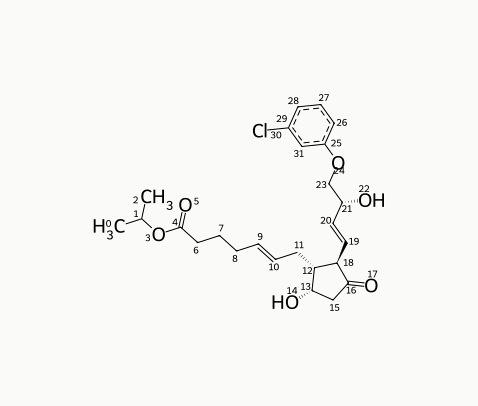 CC(C)OC(=O)CCCC=CC[C@H]1[C@@H](O)CC(=O)[C@@H]1C=C[C@@H](O)COc1cccc(Cl)c1